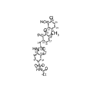 CCC(=O)NS(=O)(=O)c1ccc(NC(=O)Cc2ccc(C)c(Oc3cccc(Cl)c3C#N)c2F)c(Cl)c1